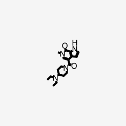 CCN(CC)C1CCN(C(=O)c2cn(C)c(=O)c3[nH]ccc23)CC1